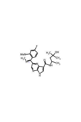 C/N=C(/c1cnc2[nH]cc(C(=O)NC(C)CC(C)(C)O)c2n1)c1ccc(F)cc1NC